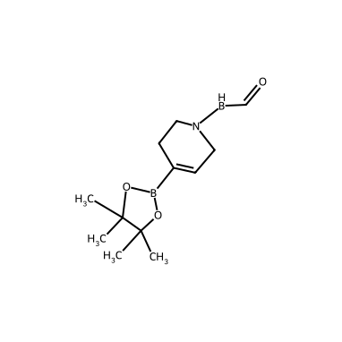 CC1(C)OB(C2=CCN(BC=O)CC2)OC1(C)C